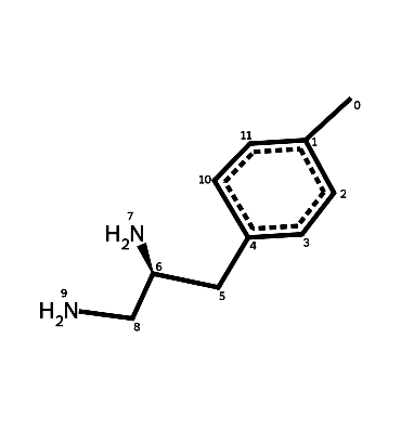 Cc1ccc(C[C@H](N)CN)cc1